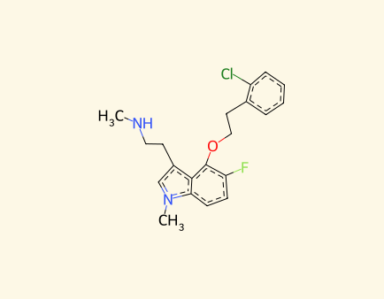 CNCCc1cn(C)c2ccc(F)c(OCCc3ccccc3Cl)c12